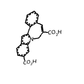 O=C(O)C1=Cc2ccccc2-c2cc3ccc(C(=O)O)cc3n2C1